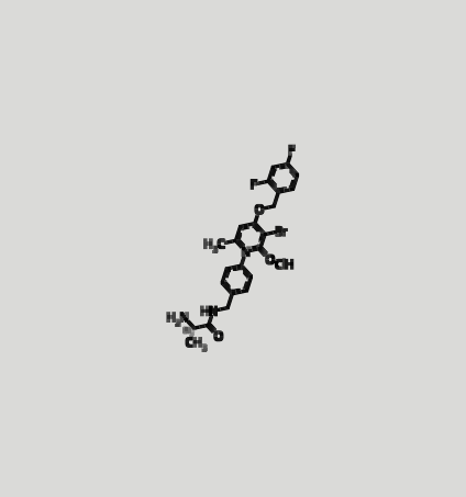 Cc1cc(OCc2ccc(F)cc2F)c(Br)c(=O)n1-c1ccc(CNC(=O)[C@H](C)N)cc1.Cl